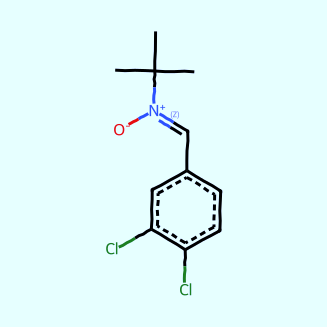 CC(C)(C)/[N+]([O-])=C/c1ccc(Cl)c(Cl)c1